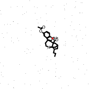 CCCC1CC2CN3CCc4c([nH]c5ccc(OC(C)=O)cc45)C(C(=O)OC)(C2)C13